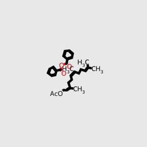 CC(=O)OCC=C(C)CCC=C(C)CCC=C(C)C.O=C(OC(=O)c1ccccc1)c1ccccc1